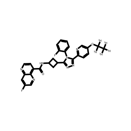 [2H]C([2H])([2H])C([2H])([2H])Oc1ccc(-c2nnc(C3CC(NC(=O)c4ccnc5cc(F)cnc45)C3)n2-c2ccccc2F)nc1